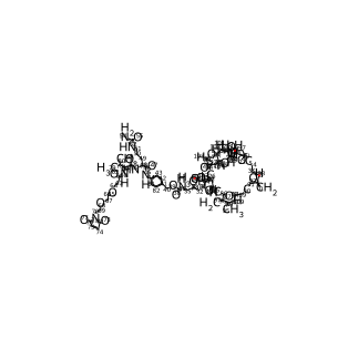 C=C1C[C@@H]2CC[C@@]34C[C@H]5O[C@H]6[C@@H](O3)[C@H]3O[C@H](CC[C@@H]3O[C@H]6[C@H]5O4)CC(=O)C[C@@H]3[C@@H](OC)[C@@H](C[C@H](O)CNC(=O)OCc4ccc(NC(=O)[C@H](CCCNC(N)=O)NC(=O)[C@@H](NC(=O)CCOCCOCCN5C(=O)C=CC5=O)C(C)C)cc4)O[C@H]3CC3O[C@@H](CCC1O2)C[C@@H](C)C3=C